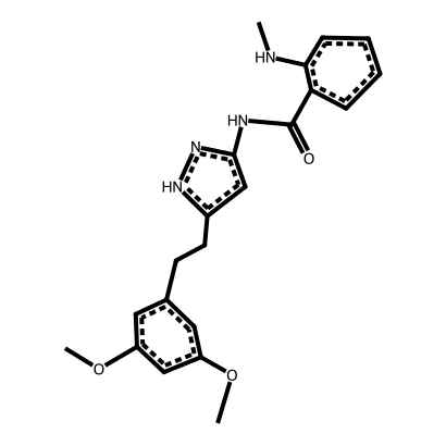 CNc1ccccc1C(=O)Nc1cc(CCc2cc(OC)cc(OC)c2)[nH]n1